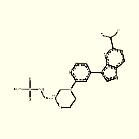 CS(=O)(=O)NC[C@@H]1CN(c2cc(-c3cnc4ccc(C(F)F)nn34)ccn2)CCO1